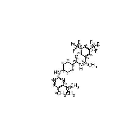 Cc1cnc(NC2CCC(C(=O)N[C@@H](C)c3cc(C(F)(F)F)cc(C(F)(F)F)c3)CC2)nc1N(C)C